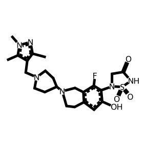 Cc1nn(C)c(C)c1CN1CCC(N2CCc3cc(O)c(N4CC(=O)NS4(=O)=O)c(F)c3C2)CC1